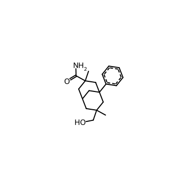 CC1(CO)CC2CC(C)(C(N)=O)CC(c3ccccc3)(C2)C1